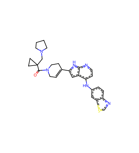 O=C(N1CC=C(c2cc3c(Nc4ccc5ncsc5c4)ccnc3[nH]2)CC1)C1(CN2CCCC2)CC1